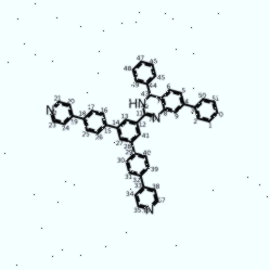 c1ccc(-c2ccc3c(c2)N=C(c2cc(-c4ccc(-c5ccncc5)cc4)cc(-c4ccc(-c5ccncc5)cc4)c2)NC3c2ccccc2)cc1